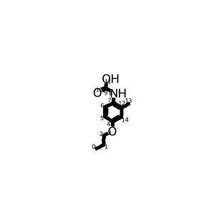 CCCOc1ccc(NC(=O)O)c(C)c1